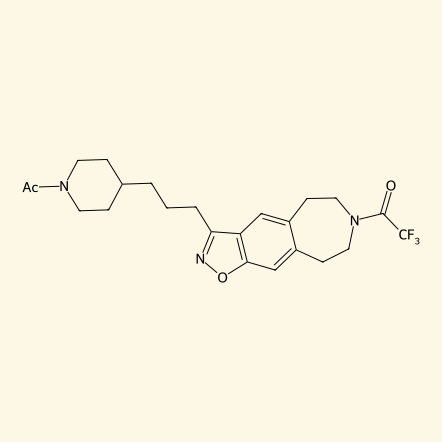 CC(=O)N1CCC(CCCc2noc3cc4c(cc23)CCN(C(=O)C(F)(F)F)CC4)CC1